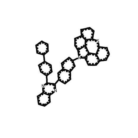 c1ccc(-c2ccc(-c3nc4ccccc4nc3-c3ccc4cc(-n5c6ccc7cccc8sc9cccc%10ccc5c(c%109)c6c78)ccc4c3)cc2)cc1